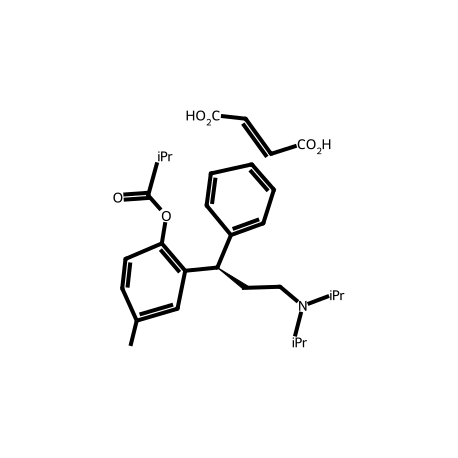 Cc1ccc(OC(=O)C(C)C)c([C@H](CCN(C(C)C)C(C)C)c2ccccc2)c1.O=C(O)/C=C/C(=O)O